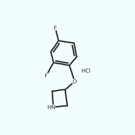 Cl.Fc1ccc(OC2CNC2)c(F)c1